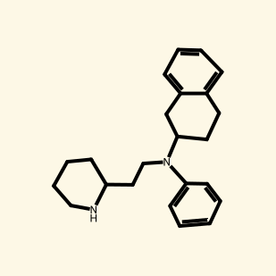 c1ccc(N(CCC2CCCCN2)C2CCc3ccccc3C2)cc1